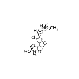 CC(C)CC(C)(N)COc1cc2c(cc1Cl)-c1c(cnc(NC(=O)O)c1Cl)CO2